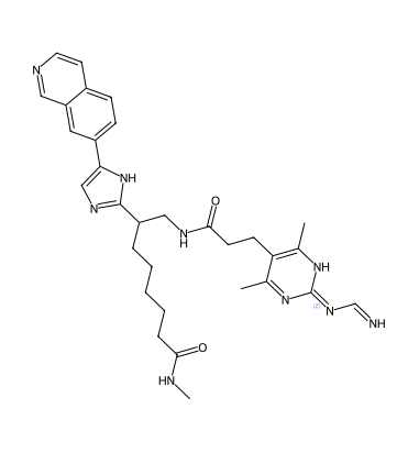 CNC(=O)CCCCCC(CNC(=O)CCc1c(C)n/c(=N/C=N)[nH]c1C)c1ncc(-c2ccc3ccncc3c2)[nH]1